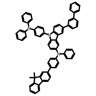 CC1(C)c2ccccc2-c2ccc(-c3ccc(N(c4ccccc4)c4ccc5c(c4)c4cc(-c6cccc(-c7ccccc7)c6)ccc4n5-c4ccc(N(c5ccccc5)c5ccccc5)cc4)cc3)cc21